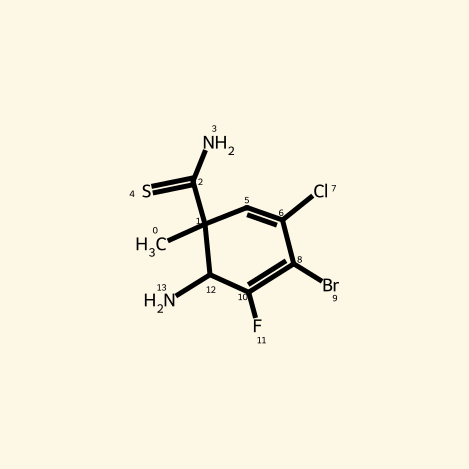 CC1(C(N)=S)C=C(Cl)C(Br)=C(F)C1N